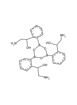 NCC(O)c1ccccc1B1OB(c2ccccc2C(O)CN)OB(c2ccccc2C(O)CN)O1